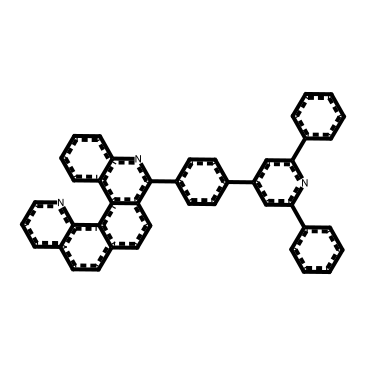 c1ccc(-c2cc(-c3ccc(-c4nc5ccccc5c5c4ccc4ccc6cccnc6c45)cc3)cc(-c3ccccc3)n2)cc1